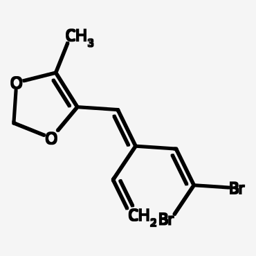 C=C/C(C=C(Br)Br)=C\C1=C(C)OCO1